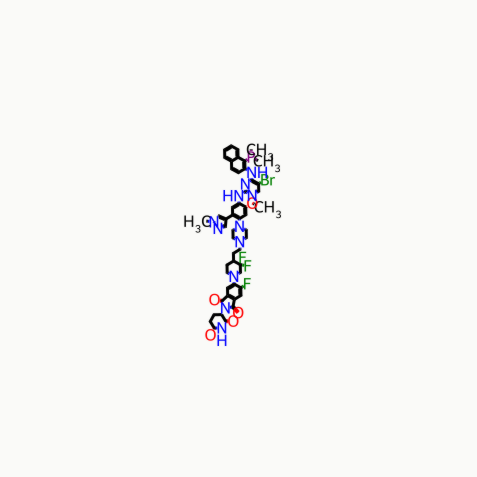 COc1cc(N2CCN(CCC3CCN(c4cc5c(cc4F)C(=O)N(C4CCC(=O)NC4=O)C5=O)CC3(F)F)CC2)c(-c2cnn(C)c2)cc1Nc1ncc(Br)c(Nc2ccc3ccccc3c2P(C)C)n1